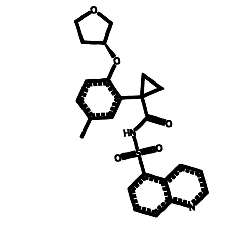 Cc1ccc(O[C@H]2CCOC2)c(C2(C(=O)NS(=O)(=O)c3cccc4ncccc34)CC2)c1